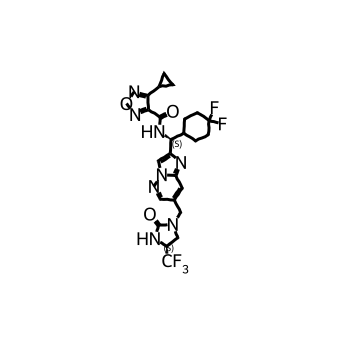 O=C(N[C@H](c1cn2ncc(CN3C[C@@H](C(F)(F)F)NC3=O)cc2n1)C1CCC(F)(F)CC1)c1nonc1C1CC1